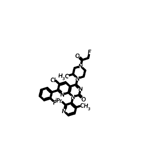 Cc1ccnc(C(C)C)c1-n1c(=O)nc(N2CCN(C(=O)CF)CC2C)c2cc(Cl)c(-c3ccccc3F)nc21